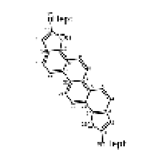 CCCCCCCc1cc2ccc3c4ccc5c(ccc6cc(CCCCCCC)oc65)c4ccc3c2o1